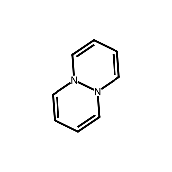 C1=CN2C=CC=CN2C=C1